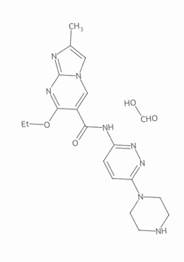 CCOc1nc2nc(C)cn2cc1C(=O)Nc1ccc(N2CCNCC2)nn1.O=CO